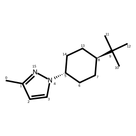 Cc1ccn([C@H]2CC[C@H](C(C)(C)C)CC2)n1